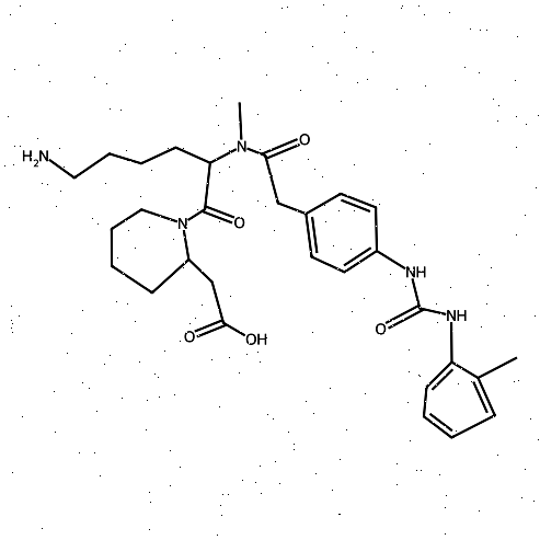 Cc1ccccc1NC(=O)Nc1ccc(CC(=O)N(C)C(CCCCN)C(=O)N2CCCCC2CC(=O)O)cc1